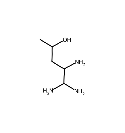 CC(O)CC(N)C(N)N